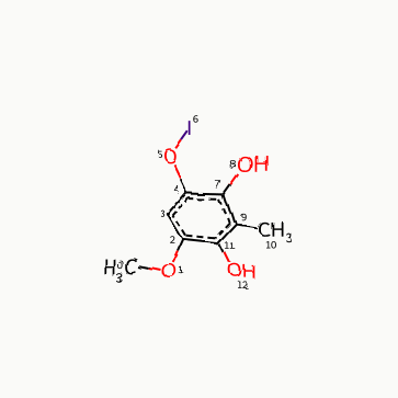 COc1cc(OI)c(O)c(C)c1O